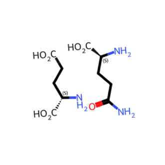 NC(=O)CC[C@H](N)C(=O)O.N[C@@H](CCC(=O)O)C(=O)O